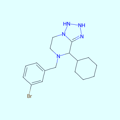 Brc1cccc(CN2CCN3NNN=C3C2C2CCCCC2)c1